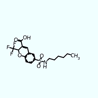 CCCCCCNS(=O)(=O)c1ccc2c(c1)C=C(C(=O)O)C(C(F)(F)F)O2